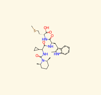 CSCC[C@@H](NC(=O)[C@@H](Cc1c(C)[nH]c2ccccc12)NC(=O)C(NC(=O)N1[C@H](C)CCC[C@@H]1C)C1CC1)C(=O)O